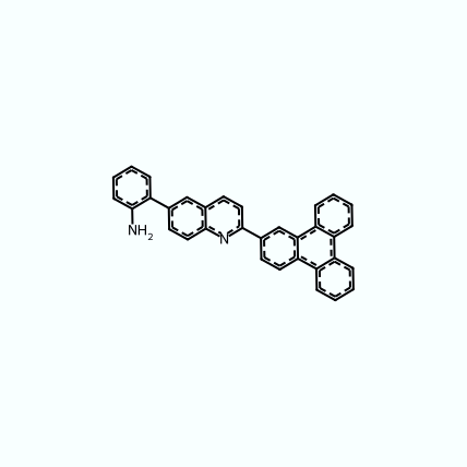 Nc1ccccc1-c1ccc2nc(-c3ccc4c5ccccc5c5ccccc5c4c3)ccc2c1